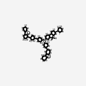 CC1(C)c2cc(-c3ccccc3)ccc2-c2ccc(N(c3ccc(-c4ccc(-c5cccc6c5oc5ccccc56)cc4)cc3)c3ccc(-c4ccc5oc6ccccc6c5c4)cc3)cc21